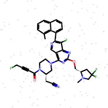 Cc1cccc2cccc(-c3ncc4c(N5CCN(C(=O)C#CCF)[C@@H](CC#N)C5)nc(OC[C@@H]5CC(F)(F)CN5C)nc4c3F)c12